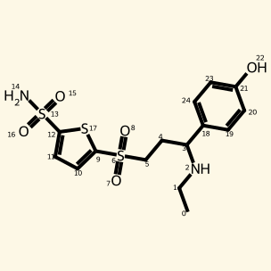 CCNC(CCS(=O)(=O)c1ccc(S(N)(=O)=O)s1)c1ccc(O)cc1